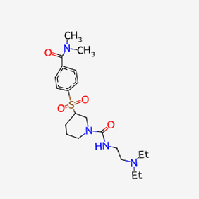 CCN(CC)CCNC(=O)N1CCCC(S(=O)(=O)c2ccc(C(=O)N(C)C)cc2)C1